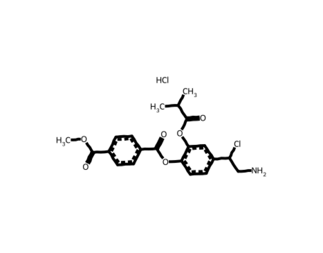 COC(=O)c1ccc(C(=O)Oc2ccc(C(Cl)CN)cc2OC(=O)C(C)C)cc1.Cl